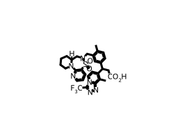 Cc1ccc(C(CC(=O)O)c2ccn3c(C(F)(F)F)nnc3c2C)cc1CN1C[C@H]2CCCCN2c2ncccc2S1(=O)=O